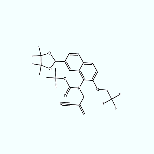 C=C(C#N)CN(C(=O)OC(C)(C)C)c1c(OCC(F)(F)F)ccc2ccc(C3OC(C)(C)C(C)(C)O3)cc12